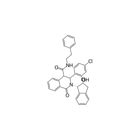 O=C(NCCc1ccccc1)C1c2ccccc2C(=O)N([C@H]2c3ccccc3C[C@H]2O)C1c1ccc(Cl)cc1Cl